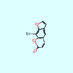 CCc1c2occc2cc2ccc(=O)oc12